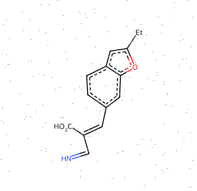 CCc1cc2ccc(/C=C(/C=N)C(=O)O)cc2o1